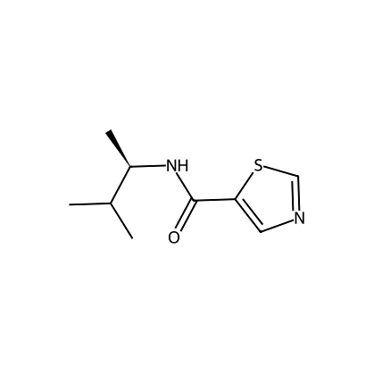 CC(C)[C@@H](C)NC(=O)c1cncs1